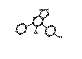 N#Cc1c(-c2ccccc2)nc2[nH]ncc2c1-c1ccc(O)cc1